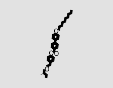 CCCCCCCCCCOc1ccc(-c2ccc(C(=O)Oc3ccc(CCOC[C@@H](C)CC)cc3)cc2)cc1